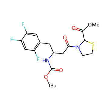 COC(=O)C1SCCN1C(=O)CC(Cc1cc(F)c(F)cc1F)NC(=O)OC(C)(C)C